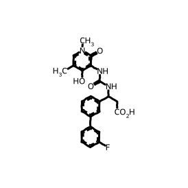 Cc1cn(C)c(=O)c(NC(=O)NC(CC(=O)O)c2cccc(-c3cccc(F)c3)c2)c1O